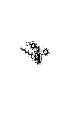 CCCCCCCO[C@H]1O[C@H]([C@@H](CN2CCCCC2)OC(=O)Nc2ccc(Cl)cc2)[C@@H]2OC(C)(C)O[C@H]12